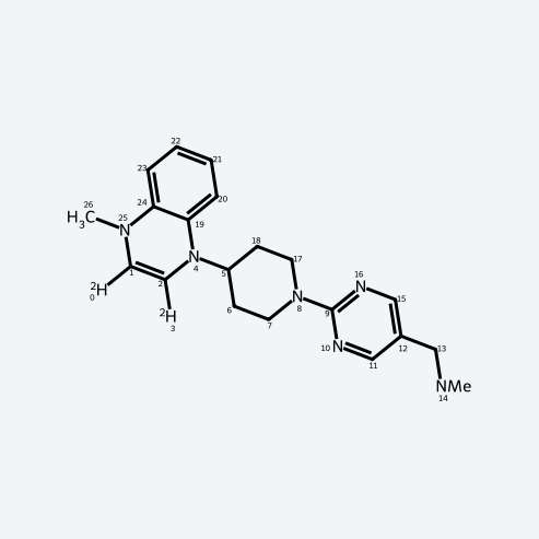 [2H]C1=C([2H])N(C2CCN(c3ncc(CNC)cn3)CC2)c2ccccc2N1C